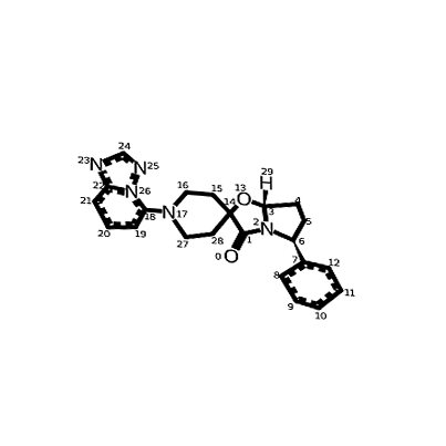 O=C1N2[C@@H](CC[C@H]2c2ccccc2)OC12CCN(c1cccc3ncnn13)CC2